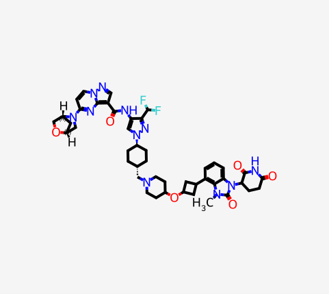 Cn1c(=O)n(C2CCC(=O)NC2=O)c2cccc(C3CC(OC4CCN(C[C@H]5CC[C@H](n6cc(NC(=O)c7cnn8ccc(N9C[C@H]%10C[C@@H]9CO%10)nc78)c(C(F)F)n6)CC5)CC4)C3)c21